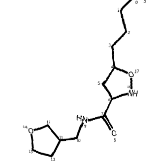 CCCCC1CC(C(=O)NCC2CCOC2)NO1